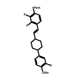 CCCCCc1ccc(/C=C/C2CCC(c3ccc(OC)c(F)c3)CC2)c(F)c1F